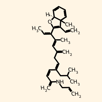 C=CCNC(=C)/C=C\C(=C/CC(=C)/C=C(C)/C(=C/C)C1=C(C=C)C2(C)C=CC=C[C@@H]2O1)CC(C)C